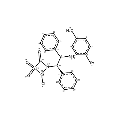 Cc1ccc(C(C)C)cc1.N[C@H](c1ccccc1)[C@@H](c1ccccc1)[N]1C(=O)[S](=O)(=O)[Ru]1[Cl]